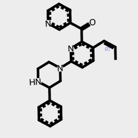 C/C=C\c1ccc(N2CCNC(c3ccccc3)C2)nc1C(=O)c1cccnc1